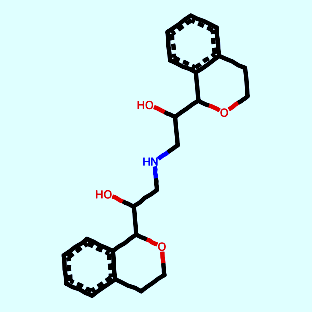 OC(CNCC(O)C1OCCc2ccccc21)C1OCCc2ccccc21